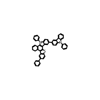 C1=Cc2c(c3c4cc(-c5ccccc5)ccc4sc3c3c4cc(-c5ccc6c(c5)c5ccccc5n6-c5ccccc5)ccc4n(-c4ccccc4)c23)CC1